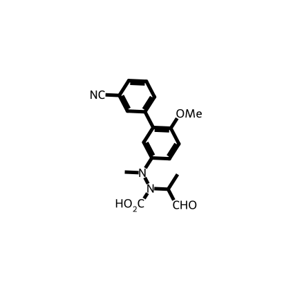 COc1ccc(N(C)N(C(=O)O)C(C)C=O)cc1-c1cccc(C#N)c1